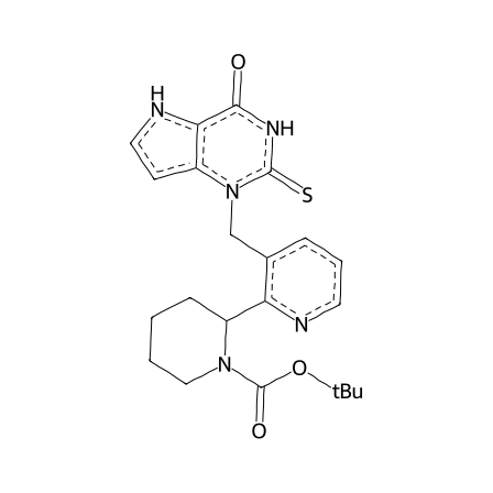 CC(C)(C)OC(=O)N1CCCCC1c1ncccc1Cn1c(=S)[nH]c(=O)c2[nH]ccc21